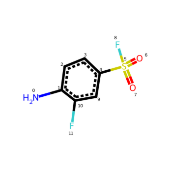 Nc1ccc(S(=O)(=O)F)cc1F